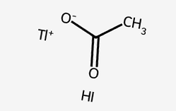 CC(=O)[O-].I.[Tl+]